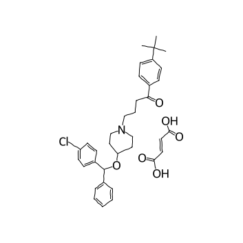 CC(C)(C)c1ccc(C(=O)CCCN2CCC(OC(c3ccccc3)c3ccc(Cl)cc3)CC2)cc1.O=C(O)C=CC(=O)O